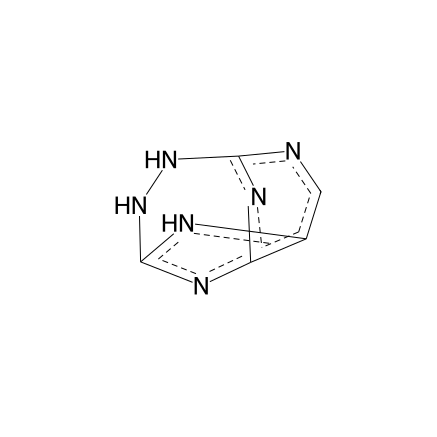 c1nc2nc3nc([nH]c13)NN2